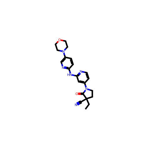 CCC1(C#N)CCN(c2ccnc(Nc3ccc(N4CCOCC4)cn3)c2)C1=O